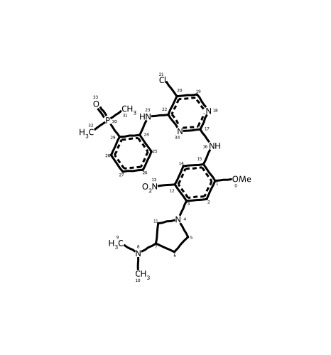 COc1cc(N2CCC(N(C)C)C2)c([N+](=O)[O-])cc1Nc1ncc(Cl)c(Nc2ccccc2P(C)(C)=O)n1